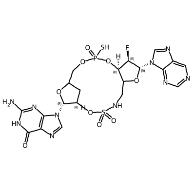 Nc1nc2c(ncn2[C@@H]2OC3COP(=O)(S)O[C@@H]4C(CNS(=O)(=O)O[C@@H]2C3)O[C@@H](n2cnc3cncnc32)[C@@H]4F)c(=O)[nH]1